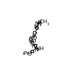 CC(C)Oc1ccc(-c2n[nH]c3ccc(N4CC[C@]5(CCN(CC(=O)N6CC=C(c7ccc(-c8ncn(C)n8)nc7)CC6)C5)C4=O)nc23)cc1